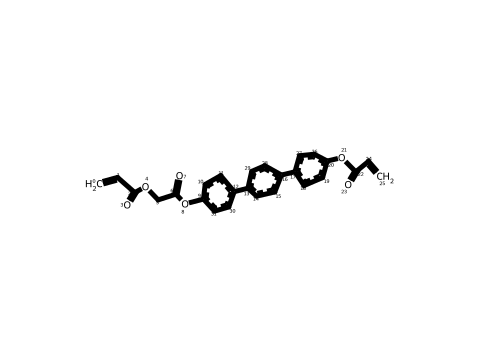 C=CC(=O)OCC(=O)Oc1ccc(-c2ccc(-c3ccc(OC(=O)C=C)cc3)cc2)cc1